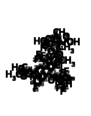 Cc1cc(CC(=O)O)c(C(C)(C)CC(=O)C(c2nn(CC(F)(F)F)c3c(-c4ccc(CCC(C)(C)S(C)(=O)=O)nc4[C@@H](CC(=O)Cn4nc(C(F)(F)F)c5c4C(F)(F)C4C[C@H]54)Cc4cc(F)cc(F)c4)ccc(Cl)c23)S(C)(=O)=O)c(OP(=O)(O)O)c1